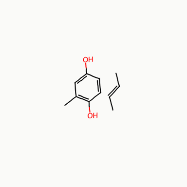 CC=CC.Cc1cc(O)ccc1O